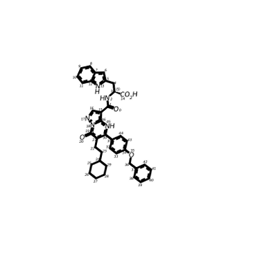 O=C(N[C@@H](Cc1cc2ccccc2[nH]1)C(=O)O)c1cnn2c(=O)c(CCC3CCCCC3)c(-c3ccc(OCc4ccccc4)cc3)[nH]c12